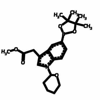 COC(=O)Cc1cn(C2CCCCO2)c2ccc(B3OC(C)(C)C(C)(C)O3)cc12